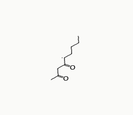 CCCC[CH]C(=O)CC(C)=O